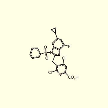 O=C(O)c1cc(Cl)c(Cc2cc3c(F)cc(C4CC4)cc3n2S(=O)(=O)c2ccccc2)c(Cl)n1